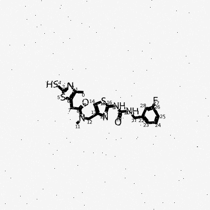 Cc1nc(S)sc1CC(=O)N(C)Cc1csc(NC(=O)NCc2cccc(F)c2)n1